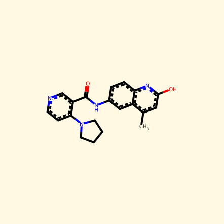 Cc1cc(O)nc2ccc(NC(=O)c3cnccc3N3CCCC3)cc12